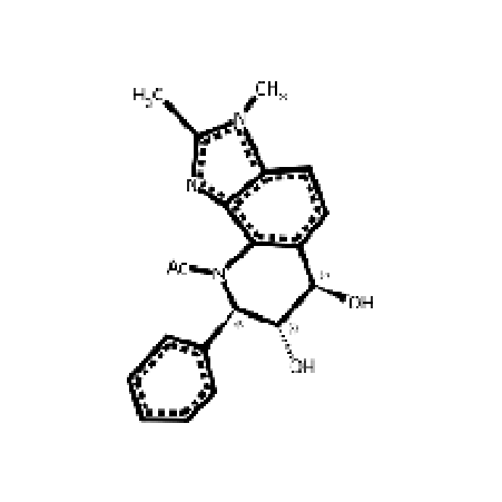 CC(=O)N1c2c(ccc3c2nc(C)n3C)[C@@H](O)[C@H](O)[C@H]1c1ccccc1